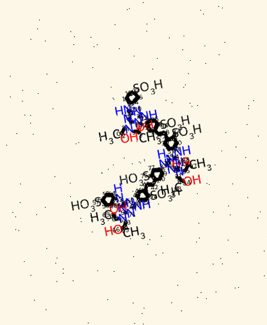 CC(O)CN(CC(C)O)c1nc(Nc2ccc(S(=O)(=O)O)cc2)nc(Nc2ccc(/C=C/c3ccc(Nc4nc(Nc5ccc(/C=C/c6ccc(Nc7nc(Nc8ccc(S(=O)(=O)O)cc8)nc(N(CC(C)O)CC(C)O)n7)cc6S(=O)(=O)O)c(S(=O)(=O)O)c5)nc(N(CC(C)O)CC(C)O)n4)cc3S(=O)(=O)O)c(S(=O)(=O)O)c2)n1